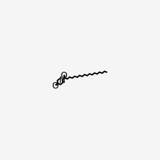 CCCCCCCCCCCCCCCCCC(=O)N1CCC(=O)CC1